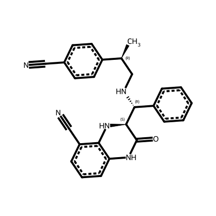 C[C@@H](CN[C@H](c1ccccc1)[C@@H]1Nc2c(C#N)cccc2NC1=O)c1ccc(C#N)cc1